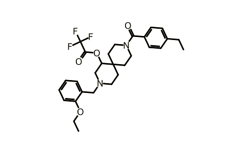 CCOc1ccccc1CN1CCC2(CCN(C(=O)c3ccc(CC)cc3)CC2)C(OC(=O)C(F)(F)F)C1